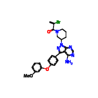 C=C(Br)C(=O)N1CCCC(n2nc(-c3ccc(Oc4cccc(OC)c4)cc3)c3c(N)ncnc32)C1